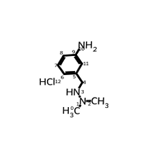 CN(C)NCc1cccc(N)c1.Cl